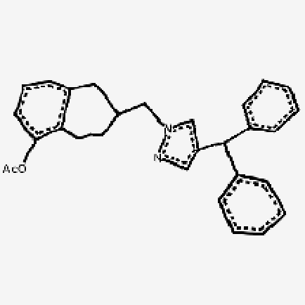 CC(=O)Oc1cccc2c1CCC(Cn1cc(C(c3ccccc3)c3ccccc3)cn1)C2